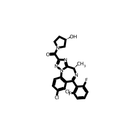 C[C@@H]1N=C(c2c(F)cccc2F)c2c(ccc(Cl)c2Cl)-n2nc(C(=O)N3CC[C@H](O)C3)nc21